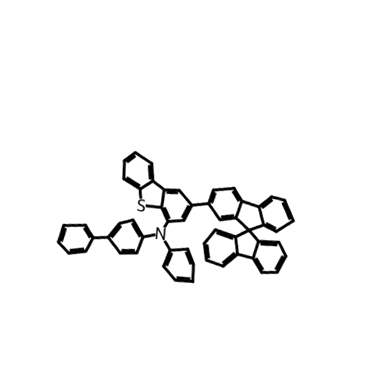 c1ccc(-c2ccc(N(c3ccccc3)c3cc(-c4ccc5c(c4)C4(c6ccccc6-c6ccccc64)c4ccccc4-5)cc4c3sc3ccccc34)cc2)cc1